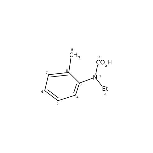 CCN(C(=O)O)c1ccccc1C